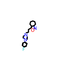 Fc1ccc(N2CCN(CCCc3onc4c3CCCCC4)CC2)cc1